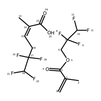 C=C(C)C(=O)OCC(F)(F)C(F)F.CC(=CCC(F)(F)C(F)F)C(=O)O